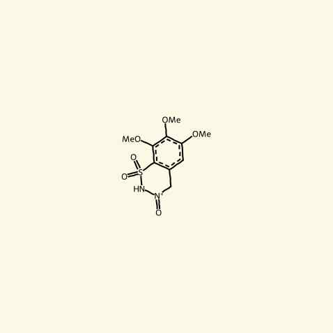 COc1cc2c(c(OC)c1OC)S(=O)(=O)N[N+](=O)C2